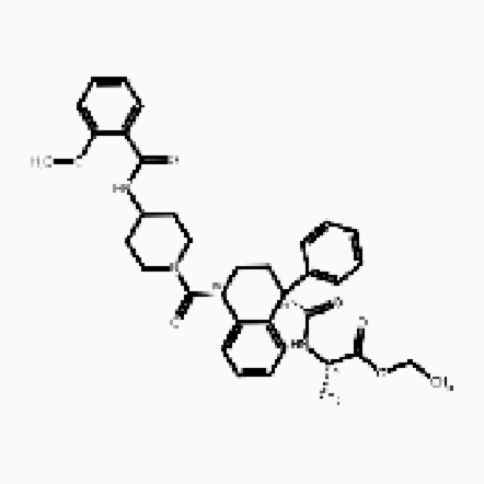 CCOC(=O)[C@H](C)NC(=O)[C@@]1(c2ccccc2)CC[C@H](C(=O)N2CCC(NC(=O)c3ccccc3OC)CC2)c2ccccc21